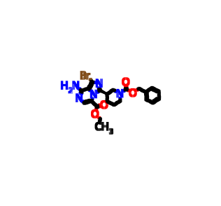 CCOC(=O)c1cnc(N)c2c(Br)nc([C@@H]3CCCN(C(=O)OCc4ccccc4)C3)n12